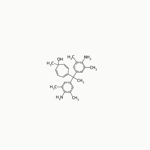 Cc1cc(C(C)(C2=CC=CC(C)(O)C=C2)c2cc(C)c(N)c(C)c2)cc(C)c1N